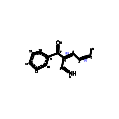 C/C=C\C=C(/C=N)C(=O)c1ccccc1